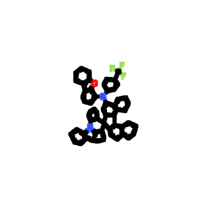 FC(F)(F)c1ccc(N(c2cc3c(c4ccccc24)-c2c(ccc4ccccc24)C32c3ccccc3-n3c4ccccc4c4cccc2c43)c2cccc3c2oc2ccccc23)cc1